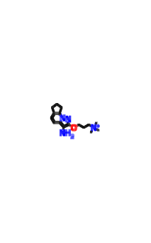 C[N+](C)(C)CCCOc1nn2c3c(ccc2c1N)CCC3